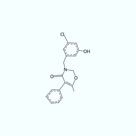 CC1=C(c2ccccc2)C(=O)N(Cc2cc(O)cc(Cl)c2)CO1